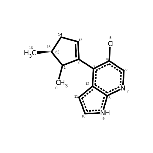 CC1C(c2c(Cl)cnc3[nH]ccc23)=CC[C@@H]1C